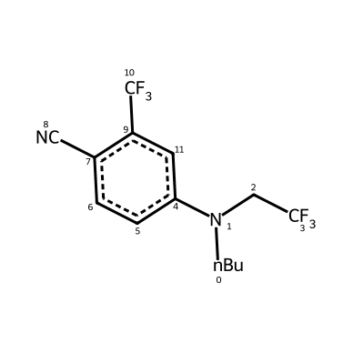 CCCCN(CC(F)(F)F)c1ccc(C#N)c(C(F)(F)F)c1